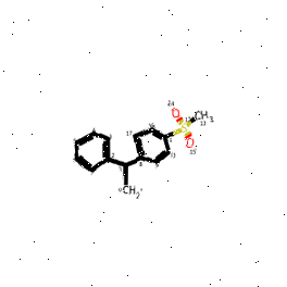 [CH2]C(c1ccccc1)c1ccc(S(C)(=O)=O)cc1